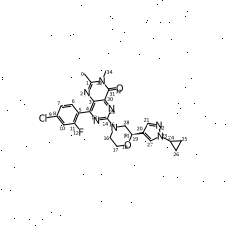 Cc1nc2c(-c3ccc(Cl)cc3F)nc(N3CCO[C@H](c4cnn(C5CC5)c4)C3)nc2c(=O)n1C